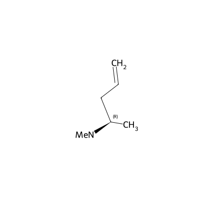 C=CC[C@@H](C)NC